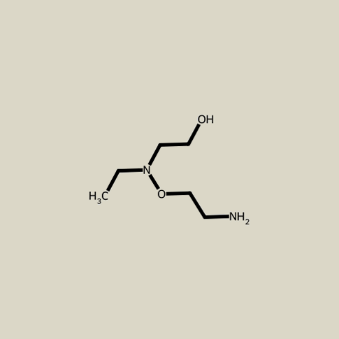 CCN(CCO)OCCN